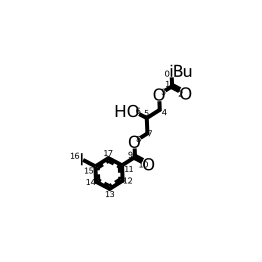 CCC(C)C(=O)OCC(O)COC(=O)c1cccc(I)c1